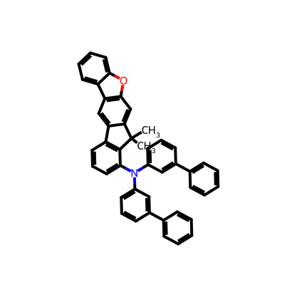 CC1(C)c2cc3oc4ccccc4c3cc2-c2cccc(N(c3cccc(-c4ccccc4)c3)c3cccc(-c4ccccc4)c3)c21